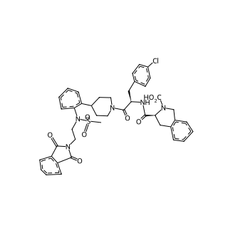 CS(=O)(=O)N(CCN1C(=O)c2ccccc2C1=O)c1ccccc1C1CCN(C(=O)[C@@H](Cc2ccc(Cl)cc2)NC(=O)[C@@H]2Cc3ccccc3CN2C(=O)O)CC1